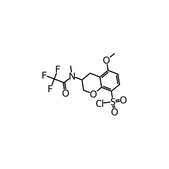 COc1ccc(S(=O)(=O)Cl)c2c1CC(N(C)C(=O)C(F)(F)F)CO2